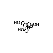 C[C@]12CC[C@@H]3c4ccc(O)cc4CC[C@H]3[C@@H]1CC[C@@H]2O.Oc1ccccc1